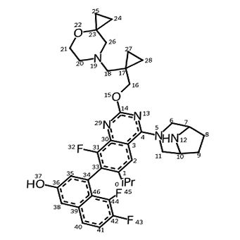 CC(C)c1cc2c(N3CC4CCC(C3)N4)nc(OCC3(CN4CCOC5(CC5)C4)CC3)nc2c(F)c1-c1cc(O)cc2ccc(F)c(F)c12